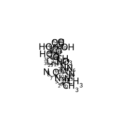 C[C@@H]1CCN(C(=O)CC#N)C[C@@H]1N(C)c1ncnc2c1ccn2C(=O)N(C)Cc1ccccc1O[C@@H]1O[C@H](C(=O)O)[C@@H](O)[C@H](O)[C@H]1O